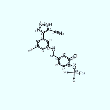 N#Cc1[nH]nnc1-c1cc(F)cc(OCc2ccc(OC(F)(F)F)c(Cl)c2)c1